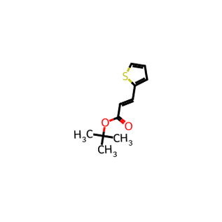 CC(C)(C)OC(=O)/C=C/c1cccs1